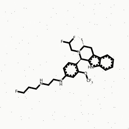 C[C@@H]1Cc2c([nH]c3ccccc23)[C@@H](c2ccc(NCCNCCCF)cc2OC(F)(F)F)N1CC(F)F